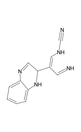 N#CN/C=C(\C=N)C1C=Nc2ccccc2N1